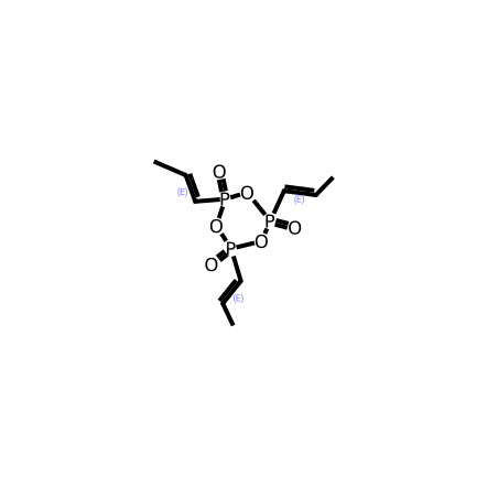 C/C=C/P1(=O)OP(=O)(/C=C/C)OP(=O)(/C=C/C)O1